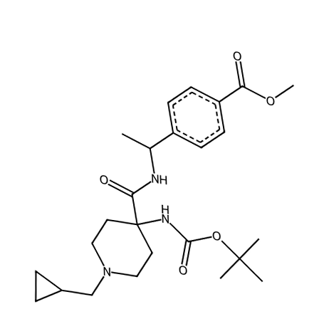 COC(=O)c1ccc(C(C)NC(=O)C2(NC(=O)OC(C)(C)C)CCN(CC3CC3)CC2)cc1